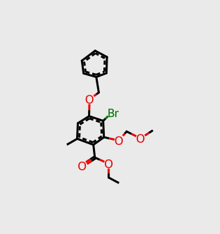 CCOC(=O)c1c(C)cc(OCc2ccccc2)c(Br)c1OCOC